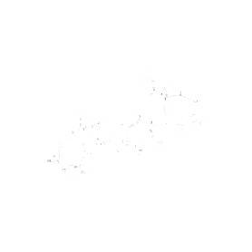 O=CN1CCOCC1c1ccc(Cn2cnc3cnccc32)cc1